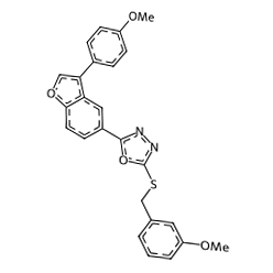 COc1ccc(-c2coc3ccc(-c4nnc(SCc5cccc(OC)c5)o4)cc23)cc1